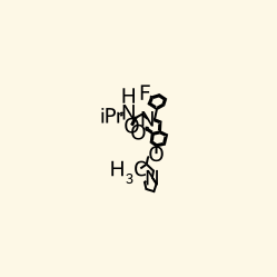 CC(COc1ccc2cc(-c3cccc(F)c3)n(CC(=O)NC(C)C)c(=O)c2c1)CN1CCCC1